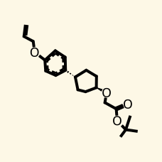 C=CCOc1ccc([C@H]2CC[C@H](OCC(=O)OC(C)(C)C)CC2)cc1